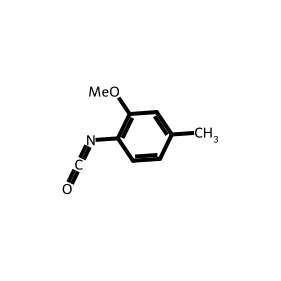 COc1cc(C)ccc1N=C=O